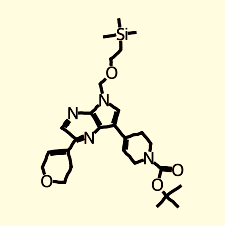 CC(C)(C)OC(=O)N1CC=C(c2cn(COCC[Si](C)(C)C)c3ncc(C4=CCOCC4)nc23)CC1